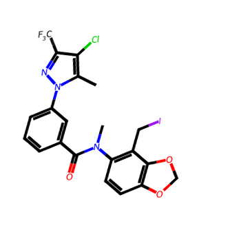 Cc1c(Cl)c(C(F)(F)F)nn1-c1cccc(C(=O)N(C)c2ccc3c(c2CI)OCO3)c1